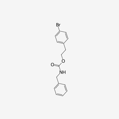 O=C(NCc1ccccc1)OCCc1ccc(Br)cc1